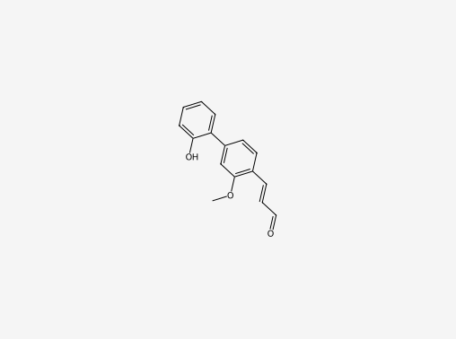 COc1cc(-c2ccccc2O)ccc1C=CC=O